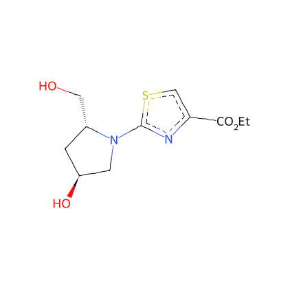 CCOC(=O)c1csc(N2C[C@@H](O)C[C@@H]2CO)n1